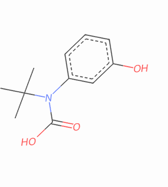 CC(C)(C)N(C(=O)O)c1cccc(O)c1